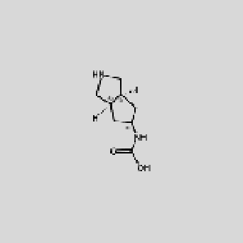 O=C(O)N[C@H]1C[C@H]2CNC[C@H]2C1